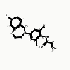 Cc1cc(N2CCOC3=C(C=CC(F)C3)C2)cc(C)c1NC(=O)CC(C)(C)C